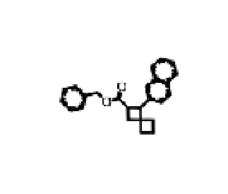 O=C(OCc1ccccc1)C1CC2(CCC2)C1c1ccc2ccccc2c1